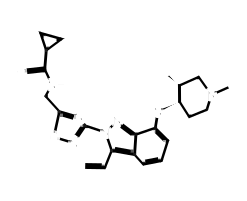 C=Cc1c2cccc(N[C@@H]3CCN(C)C[C@@H]3F)c2nn1-c1noc(CNC(=O)C2CC2)n1